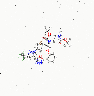 COc1ccccc1-c1nnc(-c2cc(C(F)(F)F)nn2-c2csc(CN(CCN(C)C(=O)OC(C)(C)C)C(=O)OC(C)(C)C)c2)o1